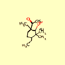 CCC1CCC(C)(C(C)=O)C(O)C1(C)C